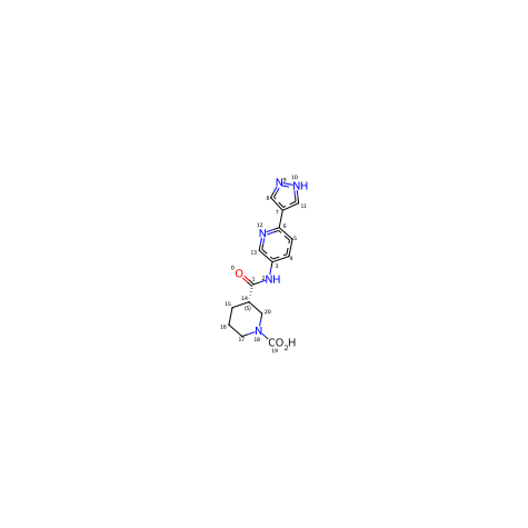 O=C(Nc1ccc(-c2cn[nH]c2)nc1)[C@H]1CCCN(C(=O)O)C1